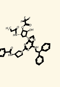 CCC(=O)N[C@H]1C[C@@H](n2cnc3c(NCC(c4ccccc4)c4ccccc4)nc(N4CC[C@@H](NC(=O)c5cccnc5)C4)nc32)[C@H](O)[C@@H]1OC(=O)C(F)(F)F